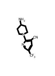 N#Cc1cc(C(F)(F)F)cnc1N1CCC(N)CC1